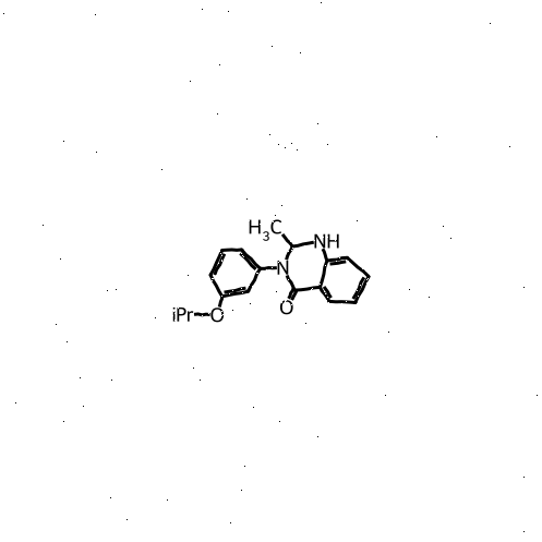 CC(C)Oc1cccc(N2C(=O)c3ccccc3NC2C)c1